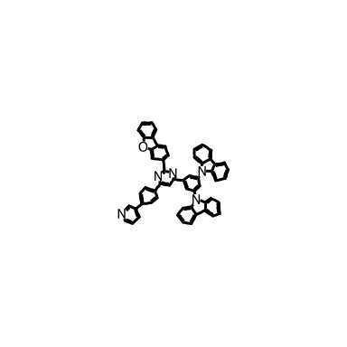 c1cncc(-c2ccc(-c3cc(-c4cc(-n5c6ccccc6c6ccccc65)cc(-n5c6ccccc6c6ccccc65)c4)nc(-c4ccc5c(c4)oc4ccccc45)n3)cc2)c1